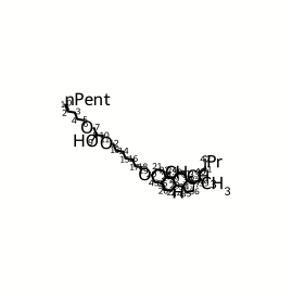 CCCCC/C=C\CCCOC[C@H](O)COCCCCCCCO[C@H]1CC[C@@]2(C)C(=CC[C@@H]3C2CC[C@@]2(C)C3CC[C@@H]2[C@H](C)CCC(C)C)C1